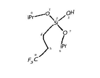 CC(C)O[Si](O)(CCC(F)(F)F)OC(C)C